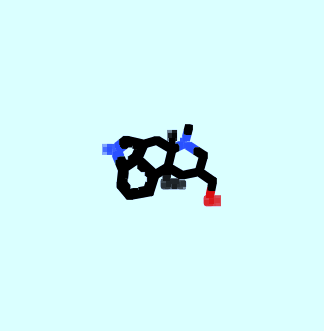 COC12CC(CO)CN(C)[C@@H]1Cc1c[nH]c3cccc2c13